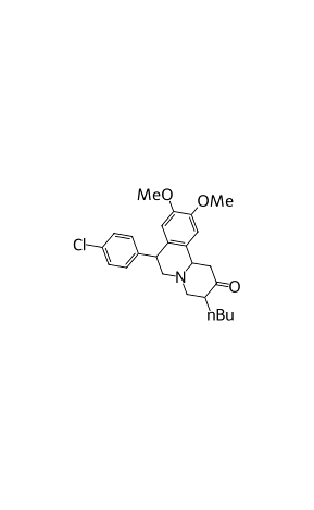 CCCCC1CN2CC(c3ccc(Cl)cc3)c3cc(OC)c(OC)cc3C2CC1=O